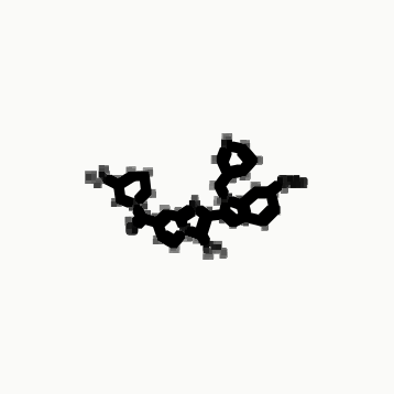 COc1ccc2cc(-c3nc4cc(C(=O)N5CCCC(N)C5)ccn4c3C)n(Cc3cccnc3)c2c1